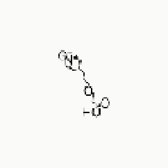 O=C(O)CCOCCCc1cc[n+]([O-])cc1